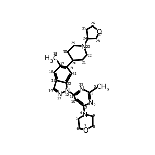 Cc1nc(N2CCOCC2)cc(-n2ncc3cc(C)c(C4CCN(C5CCOC5)CC4)cc32)n1